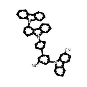 N#Cc1cc(-c2ccc(-n3c4ccccc4c4c(-n5c6ccccc6c6ccccc65)cccc43)cc2)cc(-n2c3ccccc3c3ccc(C#N)cc32)c1